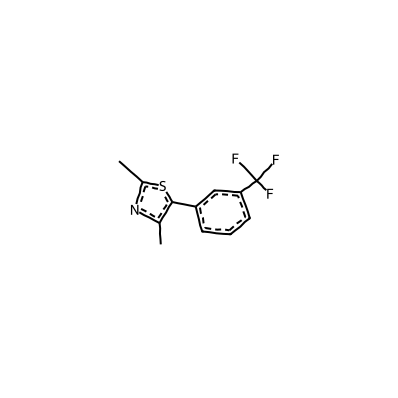 Cc1nc(C)c(-c2cccc(C(F)(F)F)c2)s1